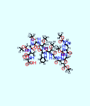 CC(C)[C@H](NC(=O)[C@H](CC(=O)OC(C)(C)C)NC(=O)[C@H](COC(C)(C)C)NC(=O)[C@@H](NC(=O)[C@H](Cc1ccccc1)NC(=O)[C@@H](NC(=O)CNC(=O)[C@H](CCC(=O)OC(C)(C)C)NC(=O)[C@H](C)NC(=O)[C@H](Cc1cn(C(=O)OC(C)(C)C)cn1)NC(=O)OC(C)(C)C)[C@@H](C)OC(C)(C)C)[C@@H](C)OC(C)(C)C)C(=O)N[C@@H](CO)C(=O)O